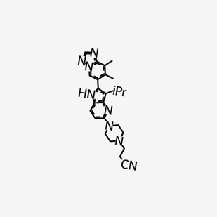 Cc1c(-c2[nH]c3ccc(N4CCN(CCC#N)CC4)nc3c2C(C)C)cn2ncnc2c1C